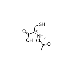 CC(=O)Cl.N[C@@H](CS)C(=O)O